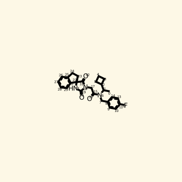 CC(C1CCC1)N(Cc1ccc(F)cc1)C(=O)CN1C(=O)NC2(CCc3ccccc32)C1=O